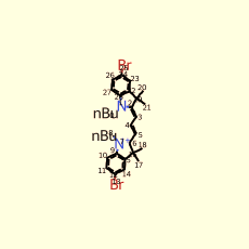 CCCCN1/C(=C\C=C\C2=[N+](CCCC)c3ccc(Br)cc3C2(C)C)C(C)(C)c2cc(Br)ccc21